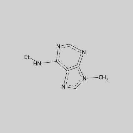 CCNc1ncnc2c1ncn2C